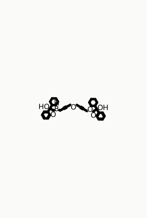 O=C(BCC#CCOCC#CCOC(=O)C(O)(c1ccccc1)C1CCCCC1)C(O)(c1ccccc1)C1CCCCC1